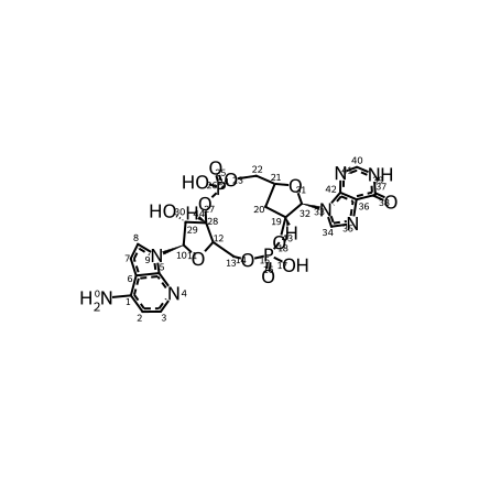 Nc1ccnc2c1ccn2[C@@H]1OC2COP(=O)(O)O[C@@H]3CC(COP(=O)(O)O[C@H]2[C@H]1O)O[C@H]3n1cnc2c(=O)[nH]cnc21